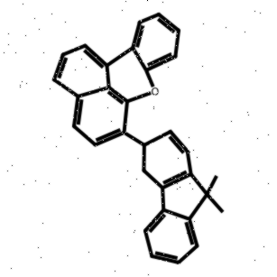 CC1(C)C2=C(CC(c3ccc4cccc5c4c3Oc3ccccc3-5)C=C2)c2ccccc21